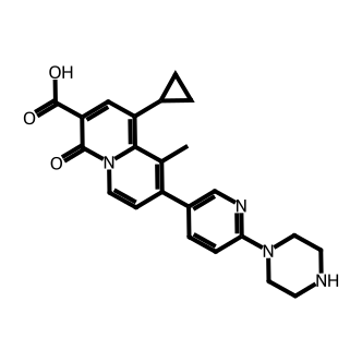 Cc1c(-c2ccc(N3CCNCC3)nc2)ccn2c(=O)c(C(=O)O)cc(C3CC3)c12